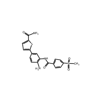 CS(=O)(=O)c1ccc(C(=O)Nc2cc(-c3ccc(C(N)=O)s3)ccc2N)cc1